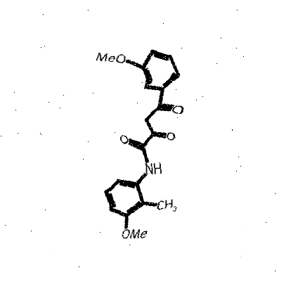 COc1cccc(C(=O)CC(=O)C(=O)Nc2cccc(OC)c2C)c1